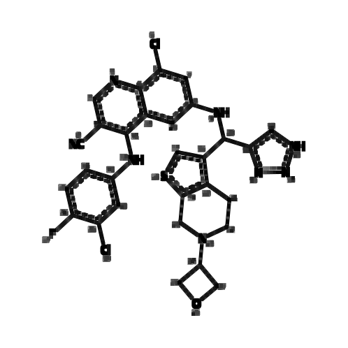 N#Cc1cnc2c(Cl)cc(NC(c3c[nH]nn3)c3csc4c3CCN(C3COC3)C4)cc2c1Nc1ccc(F)c(Cl)c1